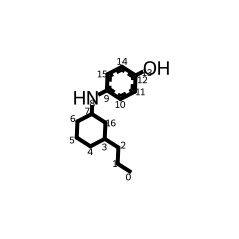 CCCC1CCCC(Nc2ccc(O)cc2)C1